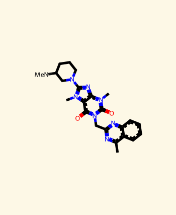 CNC1CCCN(c2nc3c(c(=O)n(Cc4nc(C)c5ccccc5n4)c(=O)n3C)n2C)C1